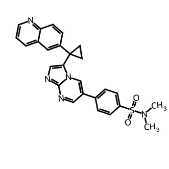 CN(C)S(=O)(=O)c1ccc(-c2cnc3ncc(C4(c5ccc6ncccc6c5)CC4)n3c2)cc1